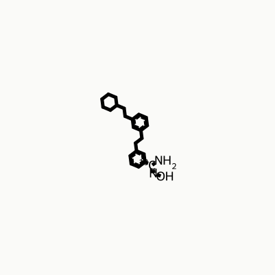 N/[13C](=N\O)c1cccc(CCc2cccc(CCC3CCCCC3)c2)c1